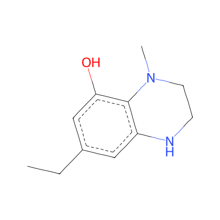 CCc1cc(O)c2c(c1)NCCN2C